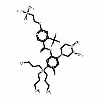 CCC[CH2][Sn]([CH2]CCC)([CH2]CCC)[c]1cc(NC(=O)c2cnc(OCC[Si](C)(C)C)cc2C(F)(F)F)c(N2CCN(C)[C@@H](C)C2)cc1F